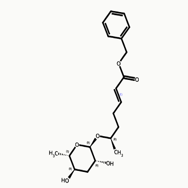 C[C@H](CC/C=C/C(=O)OCc1ccccc1)O[C@@H]1O[C@@H](C)[C@H](O)C[C@H]1O